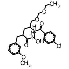 CCOCOCC(CC(Cc1cccc(OC)c1)C(=O)NO)NC(=O)c1ccc(Cl)cc1